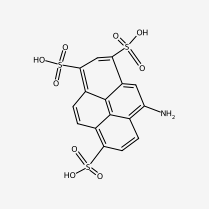 Nc1cc2c(S(=O)(=O)O)cc(S(=O)(=O)O)c3ccc4c(S(=O)(=O)O)ccc1c4c32